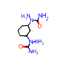 NC(=O)N(N)C1[CH]C(N(N)C(N)=O)CCC1